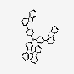 c1ccc2c(c1)-c1ccccc1C21c2ccccc2-c2ccc(N(c3ccc(-c4cccc5c4sc4ccccc45)cc3)c3ccc(-c4cccc5c4sc4ccccc45)cc3)cc21